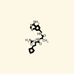 CC(NC(=O)C(CCc1ccccc1)OC(N)=O)C(=O)NCc1ccc2c(N)ncnc2c1